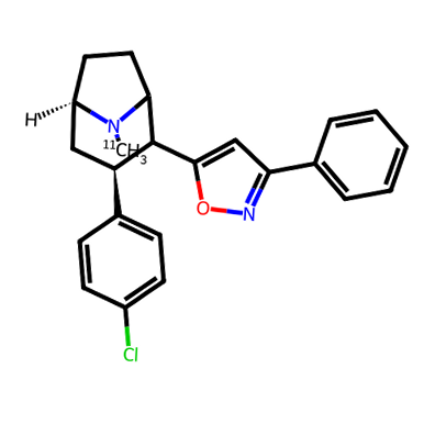 [11CH3]N1C2CC[C@@H]1C[C@H](c1ccc(Cl)cc1)C2c1cc(-c2ccccc2)no1